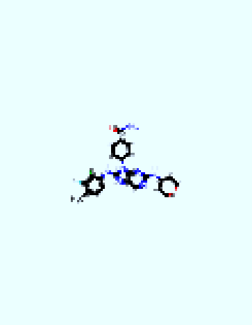 Cc1ccc(Nc2nc3cnc(NC4CCOCC4)nc3n2[C@H]2CC[C@@H](C(N)=O)CC2)c(Cl)c1F